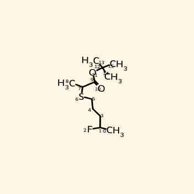 CC(F)CCCSC(C)C(=O)OC(C)(C)C